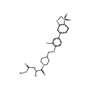 CC(C)C(NC(=O)OC(C)(C)C)C(=O)N1CCC(COc2ccc(-c3ccc4c(c3)OCS4(=O)=O)cc2F)CC1